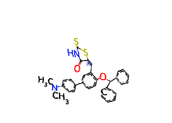 CN(C)c1ccc(-c2ccc(OC(c3ccccc3)c3ccccc3)c(/C=C3/SC(=S)NC3=O)c2)cc1